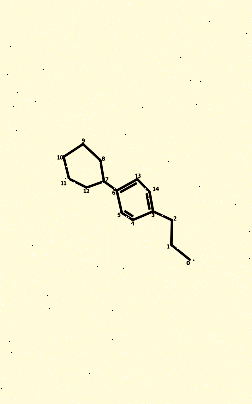 [CH2]CCc1ccc(C2CCCCC2)cc1